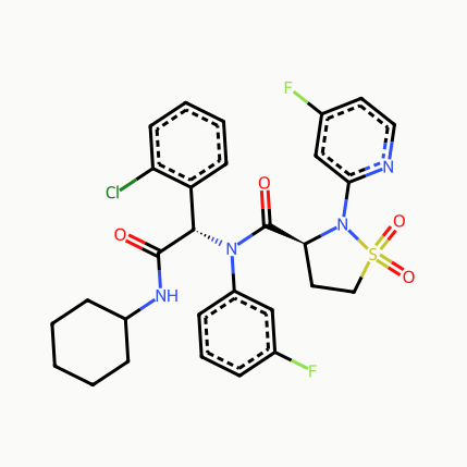 O=C(NC1CCCCC1)[C@H](c1ccccc1Cl)N(C(=O)[C@@H]1CCS(=O)(=O)N1c1cc(F)ccn1)c1cccc(F)c1